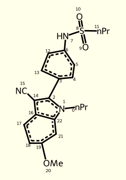 CCCn1c(-c2ccc(NS(=O)(=O)CCC)cc2)c(C#N)c2ccc(OC)cc21